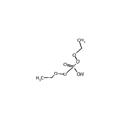 CCOOP(=O)(O)OOCC